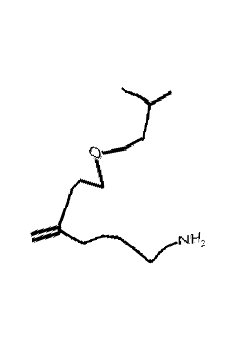 C=C(CCCN)CCOCC(C)C